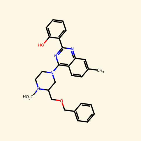 Cc1ccc2c(N3CCN(C(=O)O)C(COCc4ccccc4)C3)nc(-c3ccccc3O)nc2c1